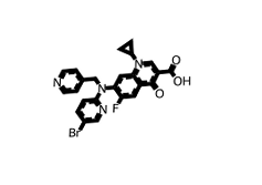 O=C(O)c1cn(C2CC2)c2cc(N(Cc3ccncc3)c3ccc(Br)cn3)c(F)cc2c1=O